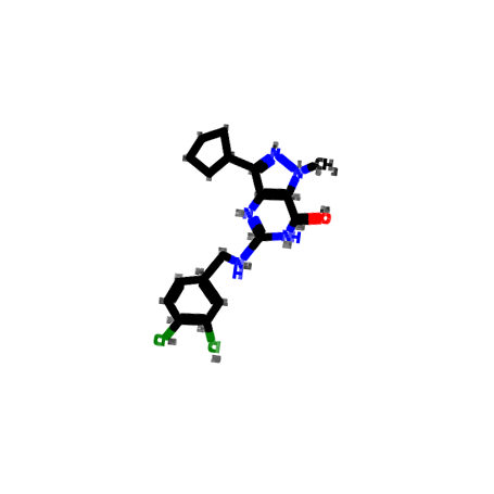 Cn1nc(C2CCCC2)c2nc(NCc3ccc(Cl)c(Cl)c3)[nH]c(=O)c21